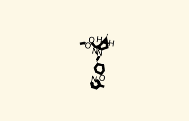 CCOC(=O)c1nn(CC[C@H]2CC[C@@H](Oc3ncccc3C)CC2)c2c1[C@@H]1[C@H](C)[C@@H]1C2